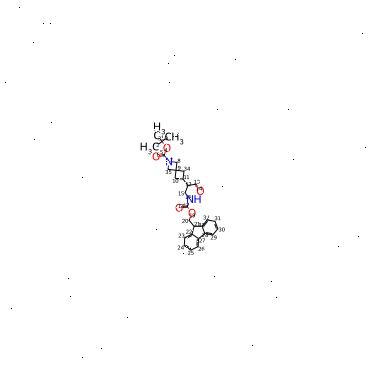 CC(C)(C)OC(=O)N1CC2(CC(C(C=O)CNC(=O)OCC3c4ccccc4-c4ccccc43)C2)C1